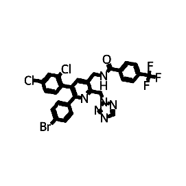 O=C(NCc1cc(-c2ccc(Cl)cc2Cl)c(-c2ccc(Br)cc2)nc1Cn1ncnn1)c1ccc(C(F)(F)F)cc1